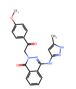 Cc1cc(Nc2nn(CC(=O)c3ccc(OC(F)(F)F)cc3)c(=O)c3ccccc23)n[nH]1